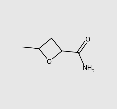 CC1CC(C(N)=O)O1